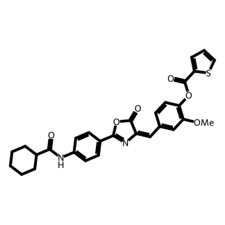 COc1cc(/C=C2/N=C(c3ccc(NC(=O)C4CCCCC4)cc3)OC2=O)ccc1OC(=O)c1cccs1